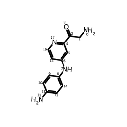 NCC(=O)c1cc(Nc2ccc(N)cc2)ccn1